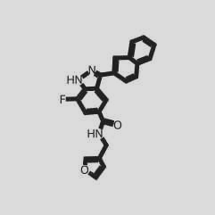 O=C(NCc1ccoc1)c1cc(F)c2[nH]nc(-c3ccc4ccccc4c3)c2c1